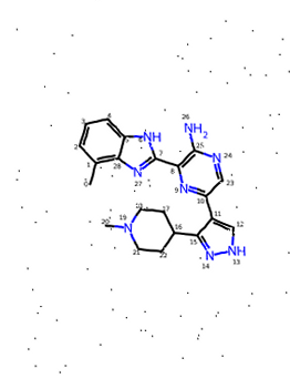 Cc1cccc2[nH]c(-c3nc(-c4c[nH]nc4C4CCN(C)CC4)cnc3N)nc12